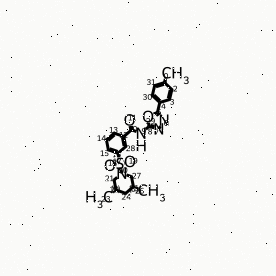 Cc1ccc(-c2nnc(NC(=O)c3cccc(S(=O)(=O)N4C[C@H](C)C[C@H](C)C4)c3)o2)cc1